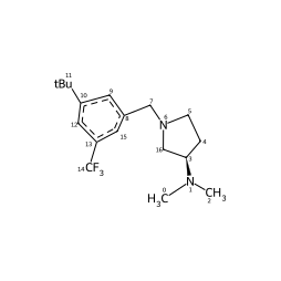 CN(C)[C@@H]1CCN(Cc2cc(C(C)(C)C)cc(C(F)(F)F)c2)C1